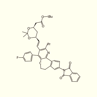 CC(C)c1nc2c(c(-c3ccc(F)cc3)c1/C=C/[C@@H]1C[C@H](CC(=O)OC(C)(C)C)OC(C)(C)O1)CCCc1cc(N3C(=O)c4ccccc4C3=O)ccc1-2